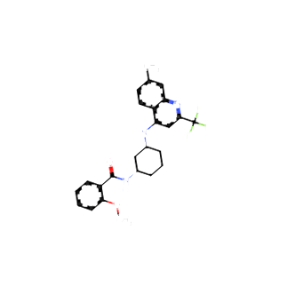 COc1ccccc1C(=O)N[C@@H]1CCC[C@H](Nc2cc(C(F)(F)F)nc3cc(C)ccc23)C1